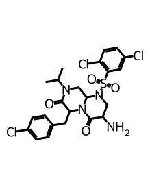 CC(C)N1CC2N(C(=O)C(N)CN2S(=O)(=O)c2cc(Cl)ccc2Cl)C(Cc2ccc(Cl)cc2)C1=O